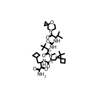 CC(C)[C@H](NC(=O)N[C@H](C(=O)N1C[C@]2(C[C@H]1C(=O)NC(CC1CCC1)C(=O)C(N)=O)C(C)(C)C21CCC1)C(C)(C)C)C(=O)N1CCOC2(CC2)C1